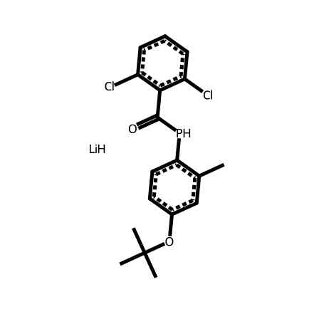 Cc1cc(OC(C)(C)C)ccc1PC(=O)c1c(Cl)cccc1Cl.[LiH]